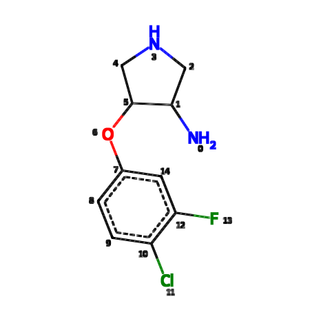 NC1CNCC1Oc1ccc(Cl)c(F)c1